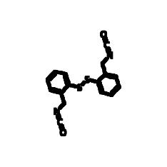 O=C=NCc1ccccc1SSc1ccccc1CN=C=O